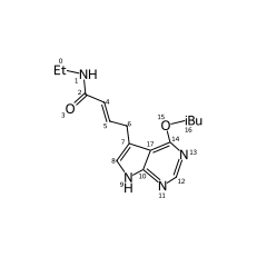 CCNC(=O)/C=C/Cc1c[nH]c2ncnc(OC(C)CC)c12